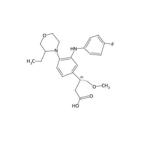 CCC1COCCN1c1ccc([C@H](COC)CC(=O)O)cc1Nc1ccc(F)cc1